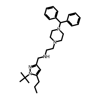 CCCc1cc(CNCCN2CCN(C(c3ccccc3)c3ccccc3)CC2)nn1C(C)(C)C